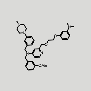 COc1cccc(CN(Cc2cccc(N3CCN(C)CC3)c2)c2ccnc(COCCOc3cccc(N(C)C)c3)c2)c1